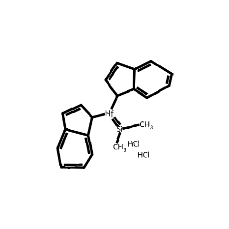 C[Si](C)=[Hf]([CH]1C=Cc2ccccc21)[CH]1C=Cc2ccccc21.Cl.Cl